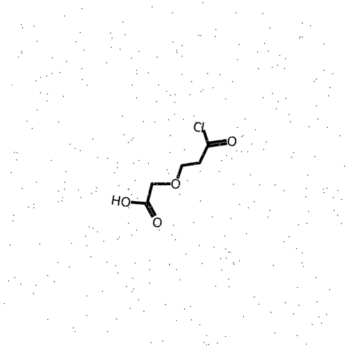 O=C(O)COCCC(=O)Cl